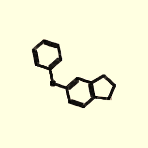 [CH]1CCc2cc(Oc3ccccc3)ccc21